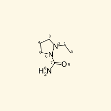 CCN1CCCN1C(N)=O